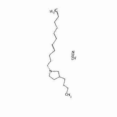 C#N.CCCCCCCCCCCN1CCC(CCCC)C1